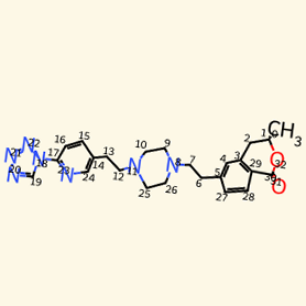 C[C@@H]1Cc2cc(CCN3CCN(CCc4ccc(-n5cnnn5)nc4)CC3)ccc2C(=O)O1